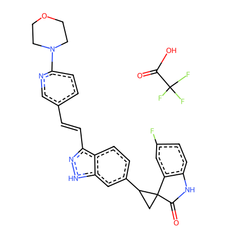 O=C(O)C(F)(F)F.O=C1Nc2ccc(F)cc2C12CC2c1ccc2c(/C=C/c3ccc(N4CCOCC4)nc3)n[nH]c2c1